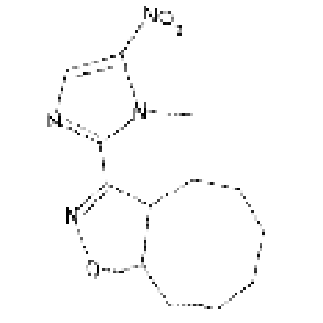 Cn1c([N+](=O)[O-])cnc1C1=NOC2CCCCCCC12